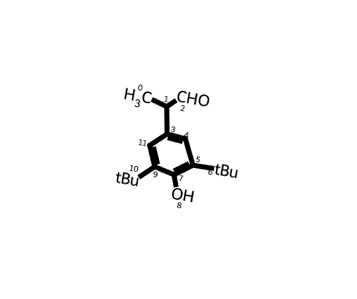 CC(C=O)c1cc(C(C)(C)C)c(O)c(C(C)(C)C)c1